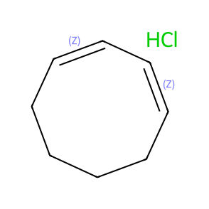 C1=C\CCCC\C=C/1.Cl